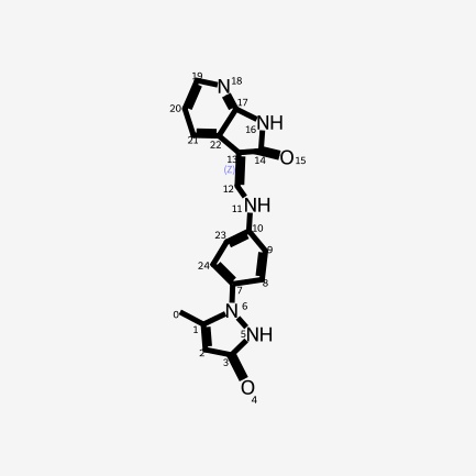 Cc1cc(=O)[nH]n1-c1ccc(N/C=C2\C(=O)Nc3ncccc32)cc1